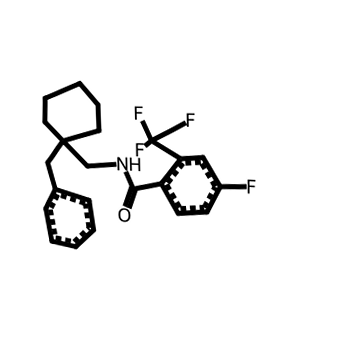 O=C(NCC1(Cc2ccccc2)CCCCC1)c1ccc(F)cc1C(F)(F)F